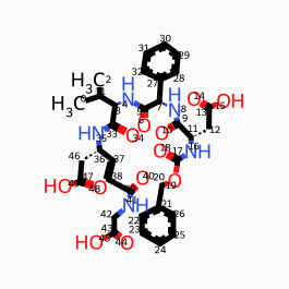 CC(C)[C@H](NC(=O)[C@@H](NC(=O)[C@H](CC(=O)O)NC(=O)OCc1ccccc1)c1ccccc1)C(=O)N[C@H](/C=C/C(=O)NCC(=O)O)CC(=O)O